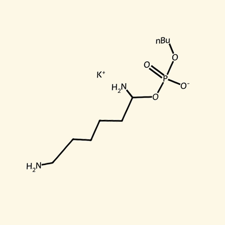 CCCCOP(=O)([O-])OC(N)CCCCCN.[K+]